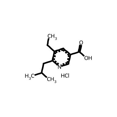 CCc1cc(C(=O)O)cnc1CC(C)C.Cl